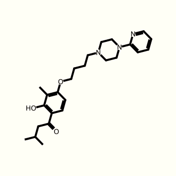 Cc1c(OCCCCN2CCN(c3ccccn3)CC2)ccc(C(=O)CC(C)C)c1O